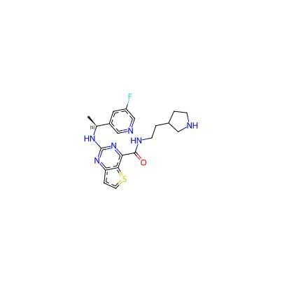 C[C@H](Nc1nc(C(=O)NCCC2CCNC2)c2sccc2n1)c1cncc(F)c1